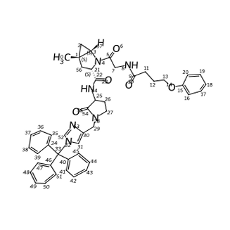 C[C@@]12C[C@@H]1N(C(=O)CNC(=O)CCCOc1ccccc1)[C@H](C(=O)NC1CCN(Cc3cn(C(c4ccccc4)(c4ccccc4)c4ccccc4)cn3)C1=O)C2